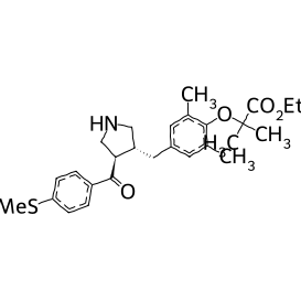 CCOC(=O)C(C)(C)Oc1c(C)cc(C[C@H]2CNC[C@@H]2C(=O)c2ccc(SC)cc2)cc1C